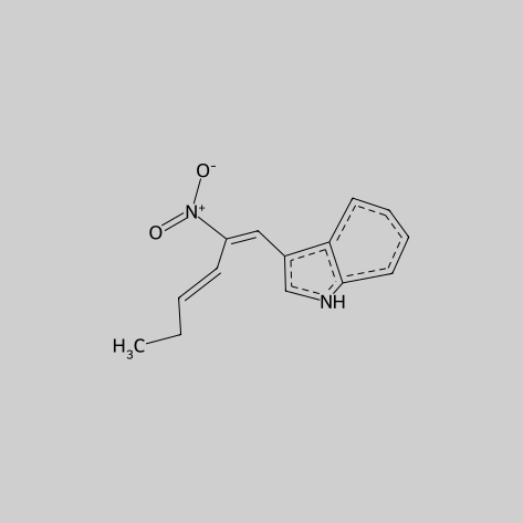 CC/C=C/C(=C\c1c[nH]c2ccccc12)[N+](=O)[O-]